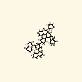 c1ccc(-c2nc3ccccc3c3c(-c4ccc(-c5nc(-c6cccc7ccccc67)nc(-c6cccc7ccccc67)n5)cc4)c4c(cc23)oc2ccccc24)cc1